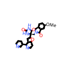 COc1ccc2c(c1)C(=O)N(C[C@@]1(c3cc4c(-c5cccnc5)nccc4o3)NC(=O)NC1=O)C2